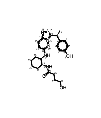 C[C@@H](c1ccc(O)cc1)c1nnc2ccc(N[C@@H]3CCCC[C@@H]3NC(=O)CCCO)nn12